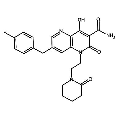 NC(=O)c1c(O)c2ncc(Cc3ccc(F)cc3)cc2n(CCN2CCCCC2=O)c1=O